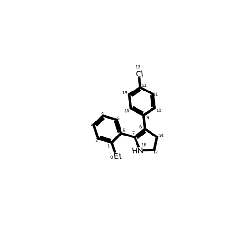 CCc1ccccc1C1=C(c2ccc(Cl)cc2)CCN1